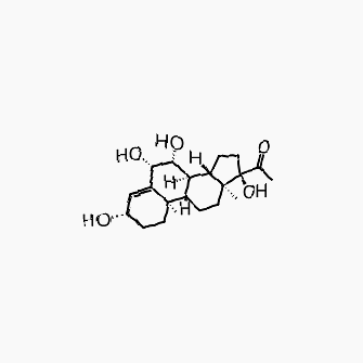 CC(=O)[C@@]1(O)CC[C@H]2[C@@H]3[C@@H](O)[C@@H](O)C4=C[C@@H](O)CC[C@]4(C)[C@H]3CC[C@@]21C